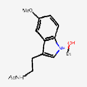 CCO.COc1ccc2[nH]cc(CCNC(C)=O)c2c1